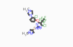 CN1CCN(c2cccc(Oc3nc(NSc4cnn(C)c4)nc(Cl)c3C(F)(F)C(F)(F)F)c2Cl)CC1